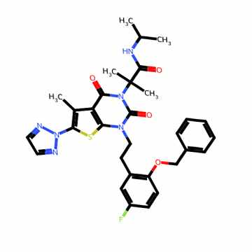 Cc1c(-n2nccn2)sc2c1c(=O)n(C(C)(C)C(=O)NC(C)C)c(=O)n2CCc1cc(F)ccc1OCc1ccccc1